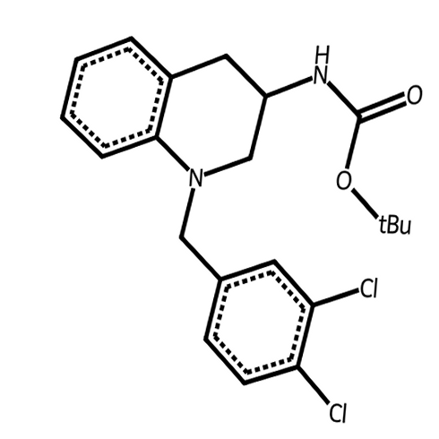 CC(C)(C)OC(=O)NC1Cc2ccccc2N(Cc2ccc(Cl)c(Cl)c2)C1